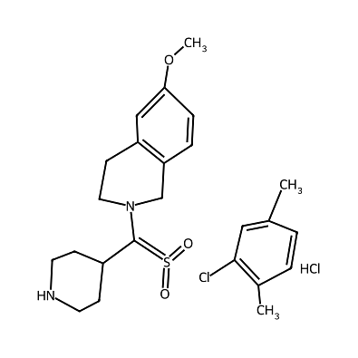 COc1ccc2c(c1)CCN(C(C1CCNCC1)=S(=O)=O)C2.Cc1ccc(C)c(Cl)c1.Cl